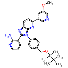 COc1cncc(-c2ccc3nc(-c4cccnc4N)n(-c4ccc(CO[Si](C)(C)C(C)(C)C)cc4)c3n2)c1